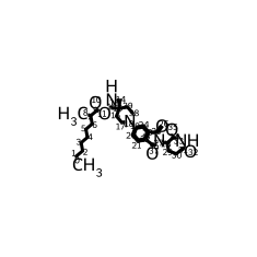 CCCCCCCC(C)C(=O)OC1NCC12CCN(c1ccc3c(c1)C(=O)N(C1CCC(=O)NC1=O)C3=O)CC2